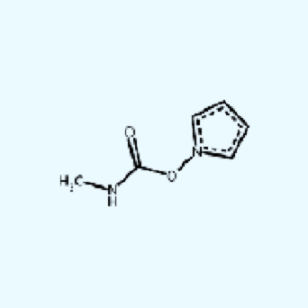 CNC(=O)On1cccc1